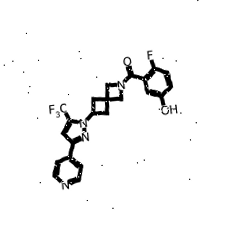 O=C(c1cc(O)ccc1F)N1CC2(CC(n3nc(-c4ccncc4)cc3C(F)(F)F)C2)C1